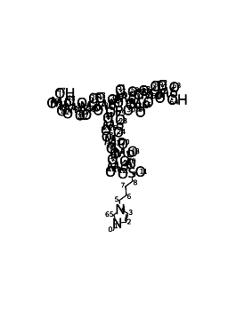 CN1C=CN(CCCCS(=O)(=O)[O][Mo](=[O])(=[O])[O][Mo](=[O])(=[O])[O][Mo](=[O])(=[O])[O][Mo](=[O])(=[O])[O]P(=O)([O][Mo](=[O])(=[O])[O][Mo](=[O])(=[O])[O][Mo](=[O])(=[O])[O][Mo](=[O])(=[O])[OH])[O][Mo](=[O])(=[O])[O][Mo](=[O])(=[O])[O][Mo](=[O])(=[O])[O][Mo](=[O])(=[O])[OH])C1